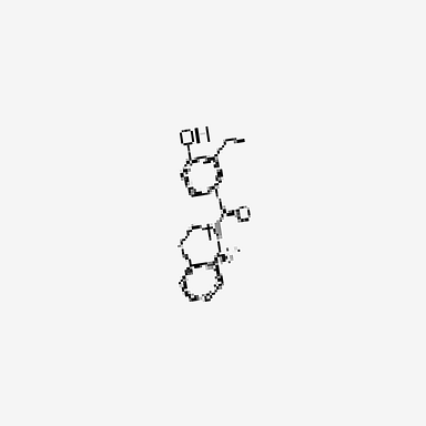 CCc1cc(C(=O)N2CCc3ccccc3[C@H]2C)ccc1O